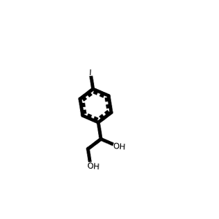 OCC(O)c1ccc(I)cc1